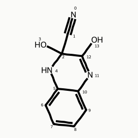 N#CC1(O)Nc2ccccc2N=C1O